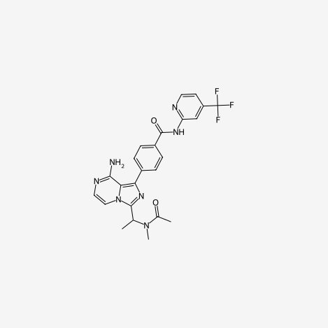 CC(=O)N(C)C(C)c1nc(-c2ccc(C(=O)Nc3cc(C(F)(F)F)ccn3)cc2)c2c(N)nccn12